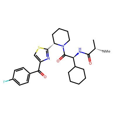 CN[C@@H](C)C(=O)N[C@H](C(=O)N1CCCC[C@H]1c1nc(C(=O)c2ccc(F)cc2)cs1)C1CCCCC1